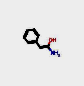 N/C(O)=C/c1ccccc1